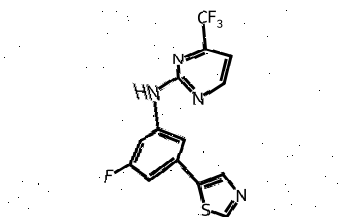 Fc1cc(Nc2nccc(C(F)(F)F)n2)cc(-c2cncs2)c1